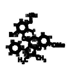 COc1ccc([C@@H](Cc2cc(Br)ccc2SC(C)(C)C)C(=O)N2C(=O)N(C)[C@@H](C)[C@H]2c2ccccc2)cc1